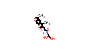 Cc1coc2cc3oc(=O)c(CCC(=O)NCC(O)CO)c(C)c3cc12